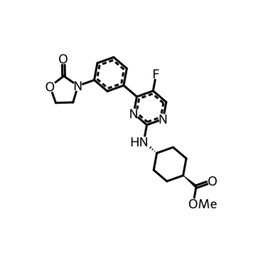 COC(=O)[C@H]1CC[C@H](Nc2ncc(F)c(-c3cccc(N4CCOC4=O)c3)n2)CC1